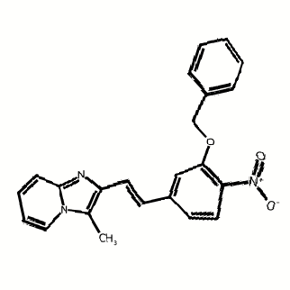 Cc1c(/C=C/c2ccc([N+](=O)[O-])c(OCc3ccccc3)c2)nc2ccccn12